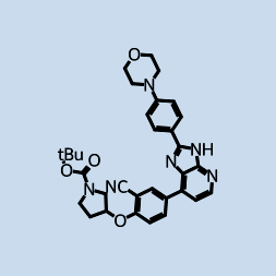 CC(C)(C)OC(=O)N1CCC(Oc2ccc(-c3ccnc4[nH]c(-c5ccc(N6CCOCC6)cc5)nc34)cc2C#N)C1